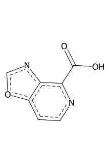 O=C(O)c1nccc2ocnc12